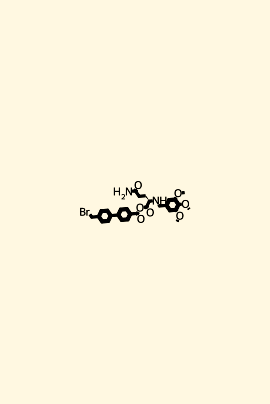 COc1cc(CN[C@@H](CCC(N)=O)C(=O)OC(=O)c2ccc(-c3ccc(CBr)cc3)cc2)cc(OC)c1OC